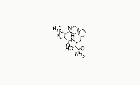 Cn1ncc(C(=O)NC(Cc2ccccc2)C(O)C(N)=O)c1-c1ccccn1